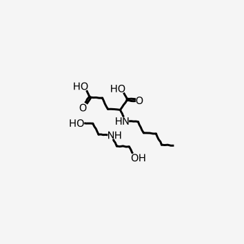 CCCCCNC(CCC(=O)O)C(=O)O.OCCNCCO